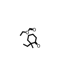 CCC1(C)CCCCC1=O.CCOC=O